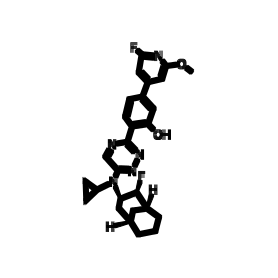 COc1cc(-c2ccc(-c3ncc(N(C4CC4)[C@@H]4C[C@H]5CCC[C@H](C5)[C@@H]4F)nn3)c(O)c2)cc(F)n1